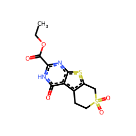 CCOC(=O)c1nc2sc3c(c2c(=O)[nH]1)CCS(=O)(=O)C3